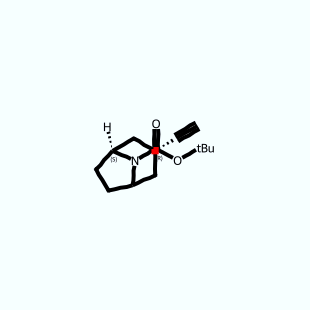 C#C[C@@H]1CC2CC[C@@H](C1)N2C(=O)OC(C)(C)C